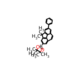 CC1(C)c2cc(B3OC(C)(C)C(C)(C)O3)cc3ccc4cc(-c5ccccc5)cc1c4c23